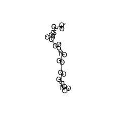 CCOC(=O)CCC(=O)c1cc2cc(OC)c(OCCCOc3cc4c(cc3OC)CN(C(=O)CCC(=O)OCCCCOC(=O)CCC(=O)c3cc5cc(OC)c(Cl)nc5s3)C4)nc2s1